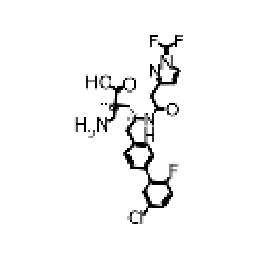 C[C@@](CN)(C[C@@H](Cc1ccc(-c2cc(Cl)ccc2F)cc1)NC(=O)Cc1ccn(C(F)F)n1)C(=O)O